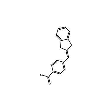 O=[N+]([O-])c1ccc(C=C2Cc3ccccc3C2)cc1